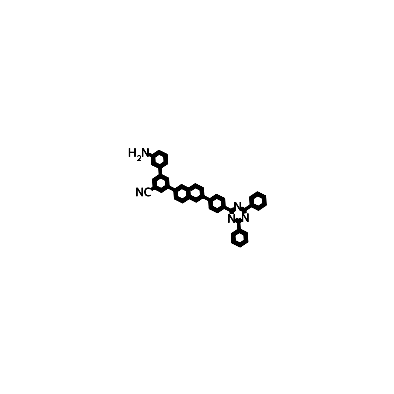 N#Cc1cc(-c2cccc(N)c2)cc(-c2ccc3cc(-c4ccc(-c5nc(-c6ccccc6)nc(-c6ccccc6)n5)cc4)ccc3c2)c1